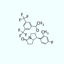 Cc1cc(F)ccc1[C@H]1C2CCC(=O)N2C[C@@H]1O[C@H](C)c1cc(C(F)(F)F)cc(C(F)(F)F)c1